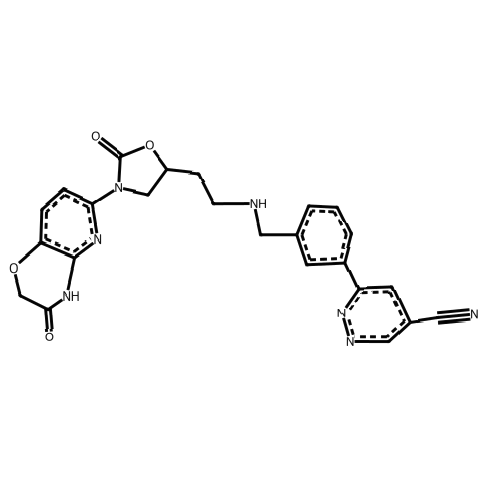 N#Cc1cnnc(-c2cccc(CNCCC3CN(c4ccc5c(n4)NC(=O)CO5)C(=O)O3)c2)c1